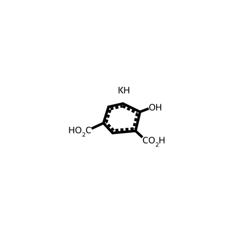 O=C(O)c1ccc(O)c(C(=O)O)c1.[KH]